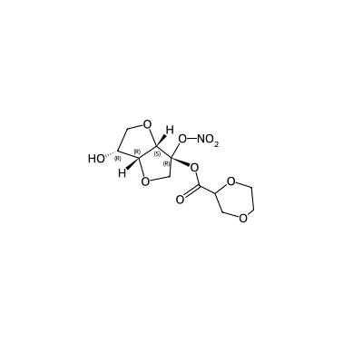 O=C(O[C@@]1(O[N+](=O)[O-])CO[C@@H]2[C@H](O)CO[C@@H]21)C1COCCO1